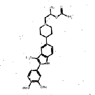 COc1ccc(-c2[nH]c3ccc(C4CCN(CC(OC(N)=O)C(C)(C)C)CC4)cc3c2C)cc1OC